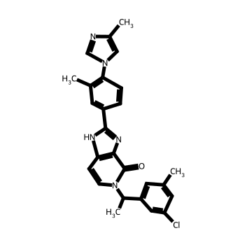 Cc1cc(Cl)cc(C(C)n2ccc3[nH]c(-c4ccc(-n5cnc(C)c5)c(C)c4)nc3c2=O)c1